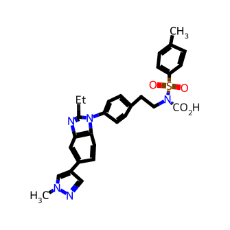 CCc1nc2cc(-c3cnn(C)c3)ccc2n1-c1ccc(CCN(C(=O)O)S(=O)(=O)c2ccc(C)cc2)cc1